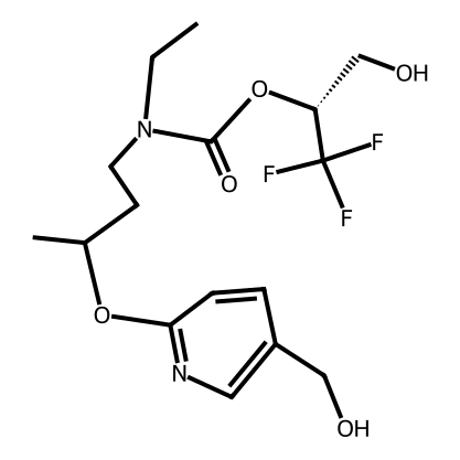 CCN(CCC(C)Oc1ccc(CO)cn1)C(=O)O[C@H](CO)C(F)(F)F